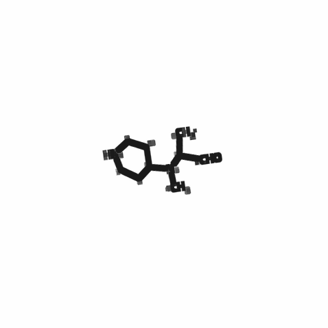 [CH2]C(C=O)N(C)C1CCNCC1